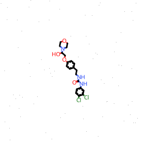 O=C(NCCc1ccc(OCC(O)N2CCOCC2)cc1)Nc1ccc(Cl)c(Cl)c1